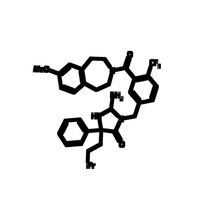 COc1ccc2c(c1)CCN(C(=O)c1cc(CN3C(=O)C(CCC(C)C)(c4ccccc4)NC3N)ccc1C(F)(F)F)CC2